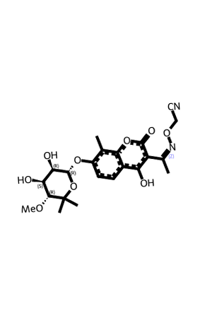 CO[C@@H]1[C@@H](O)[C@@H](O)[C@H](Oc2ccc3c(O)c(/C(C)=N\OCC#N)c(=O)oc3c2C)OC1(C)C